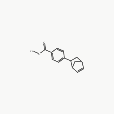 CC(C)OC(=O)c1ccc(C2CC3C=CC2C3)cc1